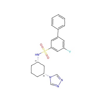 O=S(=O)(N[C@H]1CCC[C@@H](n2cnnc2)C1)c1cc(F)cc(-c2ccccc2)c1